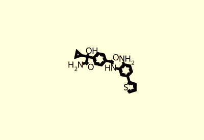 NC(=O)C(O)(c1ccc(C(=O)Nc2cc(-c3cccs3)ccc2N)cc1)C1CC1